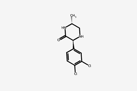 C[C@@H]1CN[C@@H](c2ccc(Cl)c(Cl)c2)C(=O)N1